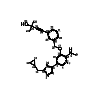 CNc1ncc(-c2cnc(CC3CC3)s2)cc1OCc1cccc(C#CC(C)(C)O)c1